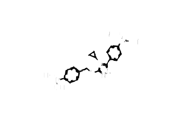 CN(C)c1ccc(-c2nnc(SCc3ccc(B(O)O)cc3)n2C2CC2)cc1